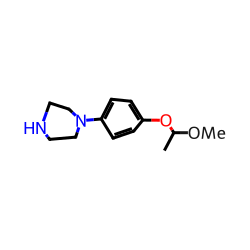 COC(C)Oc1ccc(N2CCNCC2)cc1